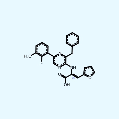 Cc1cccc(-c2cnc(N/C(=C\c3ccco3)C(=O)O)c(Cc3ccccc3)n2)c1F